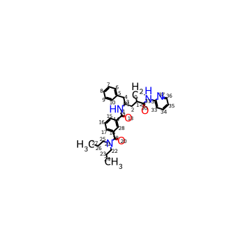 [CH2]C(C[C@H](Cc1ccccc1)NC(=O)c1cccc(C(=O)N(CCC)CCC)c1)C(=O)Nc1ccccn1